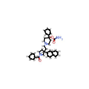 NC(=O)OC1(c2ccccc2)CCN(CCC2(c3ccc4ccccc4c3)CCN(C(=O)c3ccccc3)C2)CC1